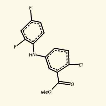 COC(=O)c1cc(Nc2ccc(F)cc2F)ccc1Cl